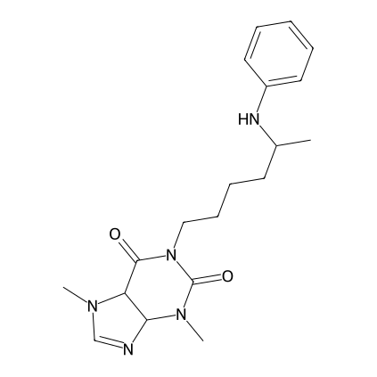 CC(CCCCN1C(=O)C2C(N=CN2C)N(C)C1=O)Nc1ccccc1